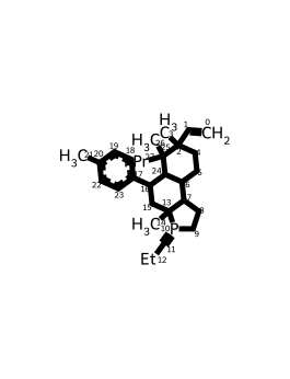 C=CC1(C)CCC2C3CCP(#CCC)C3(C)CC(c3ccc(C)cc3)C2C1(C)CCC